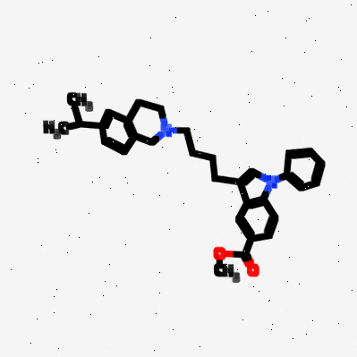 COC(=O)c1ccc2c(c1)c(CCCCN1CCc3cc(C(C)C)ccc3C1)cn2-c1ccccc1